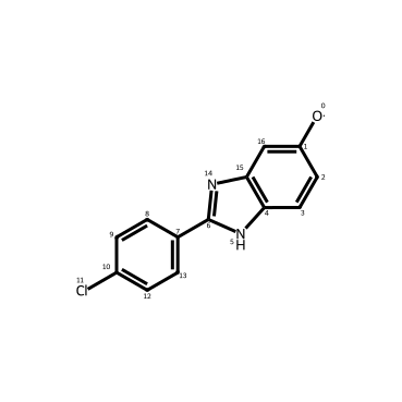 [O]c1ccc2[nH]c(-c3ccc(Cl)cc3)nc2c1